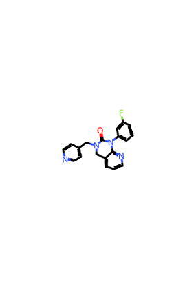 O=C1N(Cc2ccncc2)Cc2cccnc2N1c1cccc(F)c1